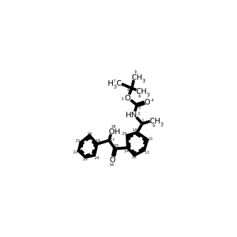 CC(NC(=O)OC(C)(C)C)c1cccc(C(=O)C(O)c2ccccc2)c1